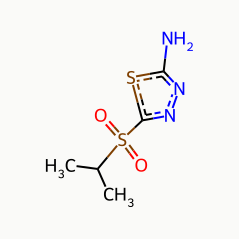 CC(C)S(=O)(=O)c1nnc(N)s1